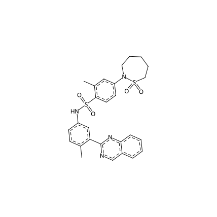 Cc1ccc(NS(=O)(=O)c2ccc(N3CCCCCS3(=O)=O)cc2C)cc1-c1ncc2ccccc2n1